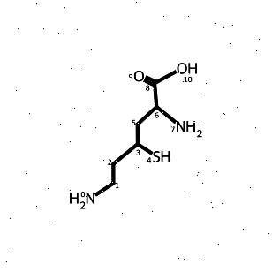 NCCC(S)CC(N)C(=O)O